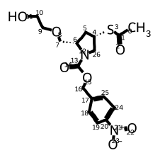 CC(=O)S[C@H]1C[C@@H](COCCO)N(C(=O)OCc2ccc([N+](=O)[O-])cc2)C1